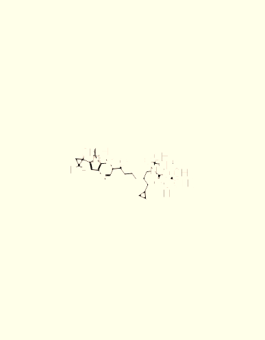 Cn1c(C2(C)CC2(F)F)cc2ncc(C(=O)CCC[C@@H](CC3CC3)[C@@H]3COC(C)(C)N3C(=O)OC(C)(C)C)nc21